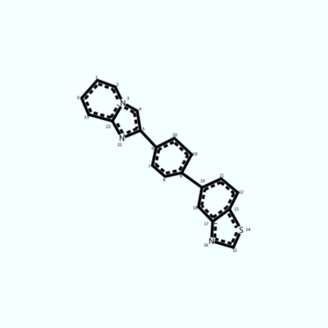 c1ccn2cc(-c3ccc(-c4ccc5scnc5c4)cc3)nc2c1